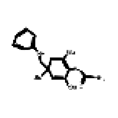 CC(C)(C)C1=CC(CNc2ccccc2)(C(C)(C)C)CC(C(C)(C)C)=C1OC(N)=O